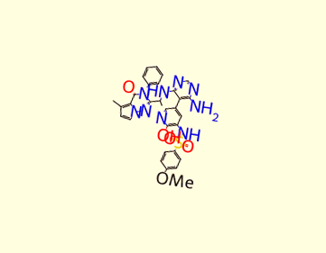 COc1ccc(S(=O)(=O)Nc2cc(-c3c(N)ncnc3NC(C)c3nn4ccc(C)c4c(=O)n3-c3ccccc3)cnc2O)cc1